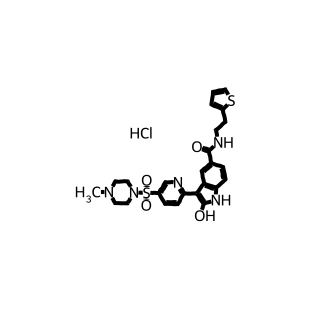 CN1CCN(S(=O)(=O)c2ccc(-c3c(O)[nH]c4ccc(C(=O)NCCc5cccs5)cc34)nc2)CC1.Cl